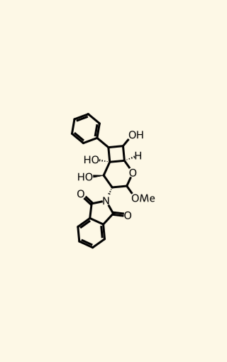 COC1O[C@@H]2C(O)C(c3ccccc3)[C@]2(O)[C@H](O)[C@H]1N1C(=O)c2ccccc2C1=O